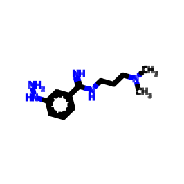 CN(C)CCCNC(=N)c1cccc(NN)c1